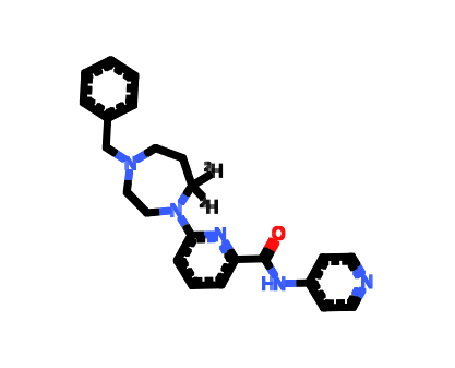 [2H]C1([2H])CCN(Cc2ccccc2)CCN1c1cccc(C(=O)Nc2ccncc2)n1